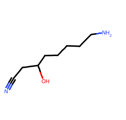 N#CCC(O)CCCCCN